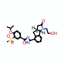 CC(C)Oc1ccc(-c2nc(-c3cccc4c3C[C@@H]3CC(=O)N(CCO)[C@H]43)no2)cc1S(C)(=O)=O